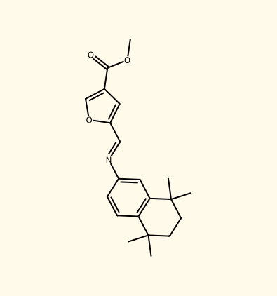 COC(=O)c1coc(C=Nc2ccc3c(c2)C(C)(C)CCC3(C)C)c1